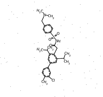 Cc1ccc(-c2cc(C(C)C)c(CC(=O)NS(=O)(=O)c3ccc(CN(C)C)cc3)c(C(C)C)c2)cc1Cl